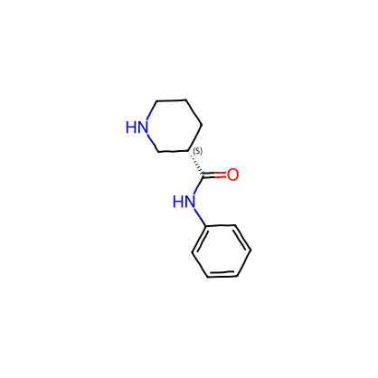 O=C(Nc1ccccc1)[C@H]1CCCNC1